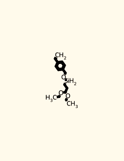 C=Cc1ccc(CO[SiH2]CCC(OCC)OCC)cc1